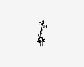 C=CC(=O)NCCCCOC1CC(C)(C)NC(C)(C)C1